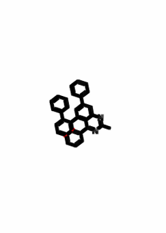 Cc1nc(-c2ccccc2)c2c(-c3ccccc3-c3ccccc3)cc(-c3ccccc3)cc2n1